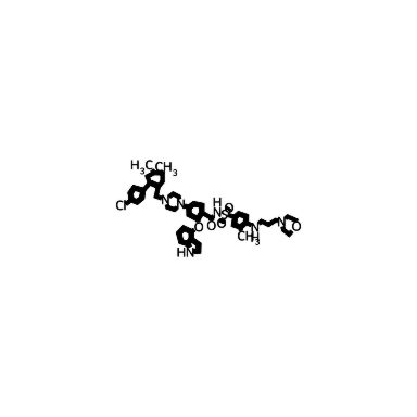 Cc1cc(S(=O)(=O)NC(=O)c2ccc(N3CCN(CC4=C(c5ccc(Cl)cc5)CC(C)(C)CC4)CC3)cc2Oc2cccc3[nH]ccc23)ccc1NCCCN1CCOCC1